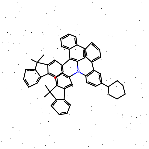 CC1(C)c2ccccc2-c2cc(N(c3ccc(C4CCCCC4)cc3-c3ccccc3)c3ccc4ccccc4c3-c3ccc4c(c3)C(C)(C)c3ccccc3-4)ccc21